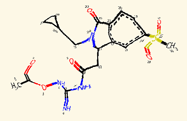 CC(=O)ONC(=N)NC(=O)CC1c2cc(S(C)(=O)=O)ccc2C(=O)N1CC1CC1